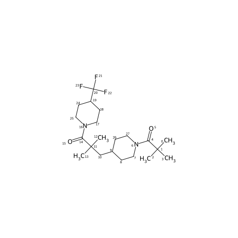 CC(C)(C)C(=O)N1CCC(CC(C)(C)C(=O)N2CCC(C(F)(F)F)CC2)CC1